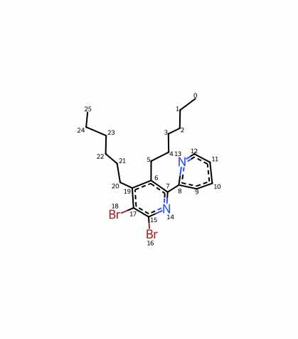 CCCCCCc1c(-c2ccccn2)nc(Br)c(Br)c1CCCCCC